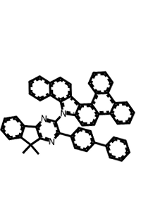 CC1(C)c2ccccc2-c2nc(-n3c4ccc5c6ccccc6c6ccccc6c5c4c4ccc5ccccc5c43)c(-c3ccc(-c4ccccc4)cc3)nc21